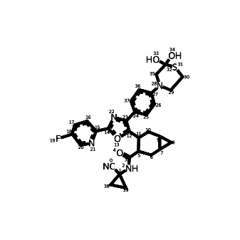 N#CC1(NC(=O)C2CC3CC3CC2c2oc(-c3ccc(F)cn3)nc2-c2ccc(N3CCSC(O)(O)C3)cc2)CC1